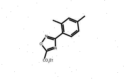 CCOC(=O)c1nc(-c2ccc(C)cc2C)no1